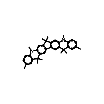 Cc1ccc2c(c1)C(C)(C)c1cc3c(cc1N2C)C(C)(C)c1cc2c(cc1-3)C(C)(C)c1cc(C)ccc1N2C